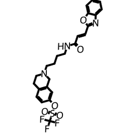 O=C(/C=C/c1nc2ccccc2o1)NCCCCN1CCc2ccc(OS(=O)(=O)C(F)(F)F)cc2C1